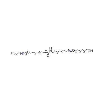 O=C(NCCSCSCC/N=C/OOCSCSCO)OCCSCSCCOO/C=N/CCS